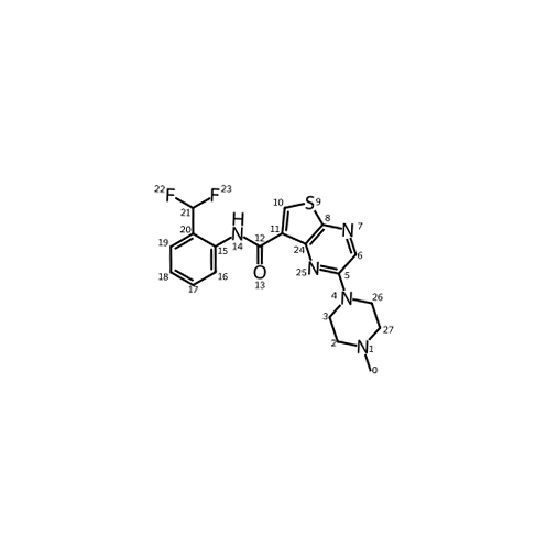 CN1CCN(c2cnc3scc(C(=O)Nc4ccccc4C(F)F)c3n2)CC1